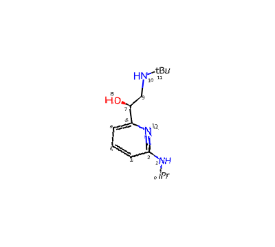 CC(C)Nc1cccc([C@@H](O)CNC(C)(C)C)n1